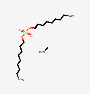 CCCCCCCCCCCCCCCCCCOS(=O)(=O)OCCCCCCCCCCCCCCCCCC.CNC